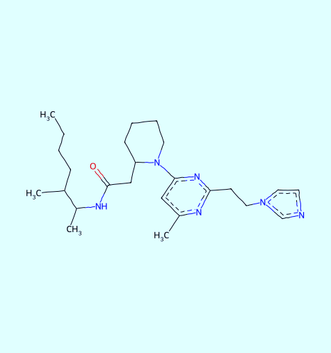 CCCCC(C)C(C)NC(=O)CC1CCCCN1c1cc(C)nc(CCn2ccnc2)n1